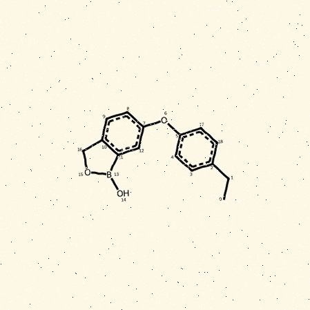 CCc1ccc(Oc2ccc3c(c2)B(O)OC3)cc1